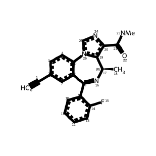 C#Cc1ccc2c(c1)C(c1ccccc1F)=N[C@H](C)c1c(C(=O)NC)ncn1-2